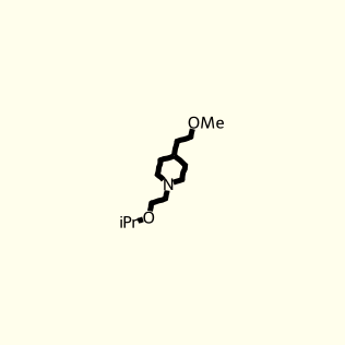 COCCC1CCN(CCOC(C)C)CC1